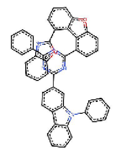 c1ccc(-c2nc(-c3ccc4c5ccccc5n(-c5ccccc5)c4c3)nc(-c3cccc4oc5cccc(-c6nc7ccccc7o6)c5c34)n2)cc1